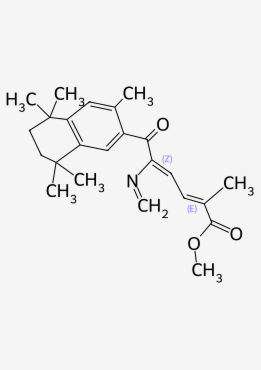 C=N/C(=C\C=C(/C)C(=O)OC)C(=O)c1cc2c(cc1C)C(C)(C)CCC2(C)C